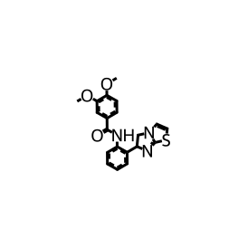 COc1ccc(C(=O)Nc2ccccc2C2CN3C=CSC3=N2)cc1OC